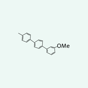 COc1cccc(-c2ccc(-c3ccc(C)cc3)cc2)c1